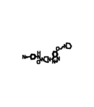 N#Cc1ccc(NC(=O)N2CCN(c3ncnc4cc(OCCN5CCCCC5)ccc34)CC2)cc1